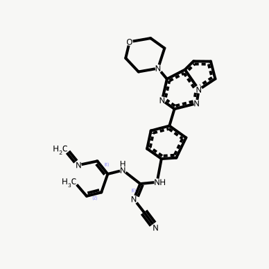 C=N/C=C(\C=C/C)N/C(=N/C#N)Nc1ccc(-c2nc(N3CCOCC3)c3cccn3n2)cc1